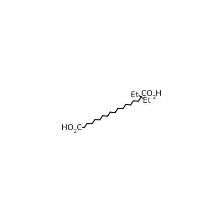 CCC(CC)(CCCCCCCCCCCCCCCC(=O)O)C(=O)O